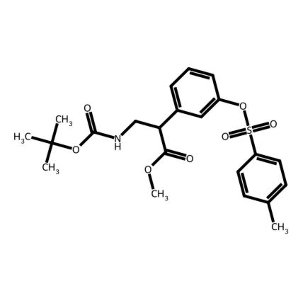 COC(=O)C(CNC(=O)OC(C)(C)C)c1cccc(OS(=O)(=O)c2ccc(C)cc2)c1